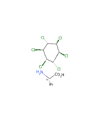 CC(C)[C@H](N)C(=O)O.Cl[C@H]1[C@H](Cl)[C@@H](Cl)[C@@H](Cl)[C@H](Cl)[C@H]1Cl